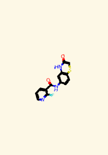 O=C1CSc2ccc(NC(=O)c3cccnc3F)cc2N1